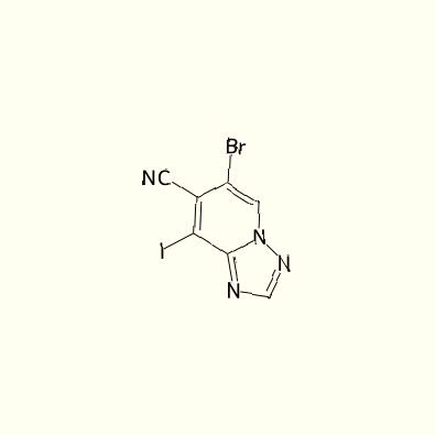 N#Cc1c(Br)cn2ncnc2c1I